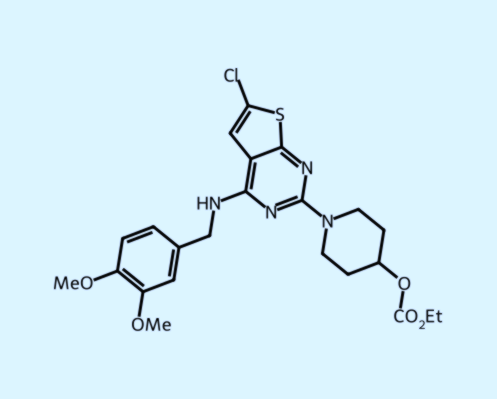 CCOC(=O)OC1CCN(c2nc(NCc3ccc(OC)c(OC)c3)c3cc(Cl)sc3n2)CC1